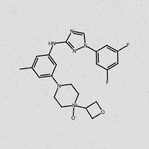 Cc1cc(Nc2ncn(-c3cc(F)cc(F)c3)n2)cc(N2CC[N+]([O-])(C3COC3)CC2)c1